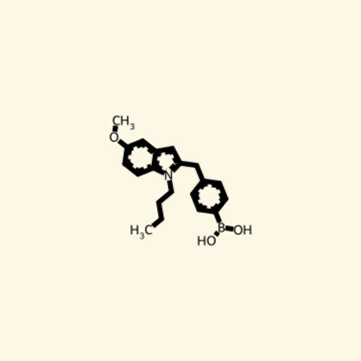 CCCCn1c(Cc2ccc(B(O)O)cc2)cc2cc(OC)ccc21